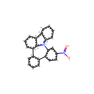 O=[N+]([O-])c1ccc2c(c1)-n1c3ccccc3c3cccc(c31)-c1ccccc1-2